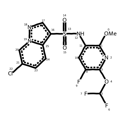 COc1nc(OC(F)F)c(F)cc1NS(=O)(=O)c1cnn2cc(Cl)ccc12